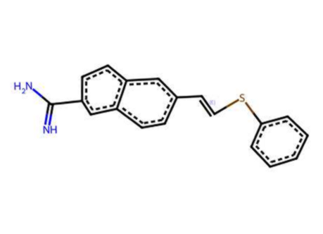 N=C(N)c1ccc2cc(/C=C/Sc3ccccc3)ccc2c1